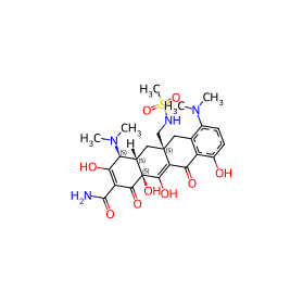 CN(C)c1ccc(O)c2c1C[C@@]1(CNS(C)(=O)=O)C[C@H]3[C@H](N(C)C)C(O)=C(C(N)=O)C(=O)[C@@]3(O)C(O)=C1C2=O